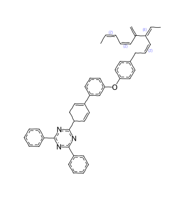 C=C(/C=C\C=C/C)C(/C=C\Cc1ccc(Oc2cccc(C3=CCC(c4nc(-c5ccccc5)nc(-c5ccccc5)n4)C=C3)c2)cc1)=C/C